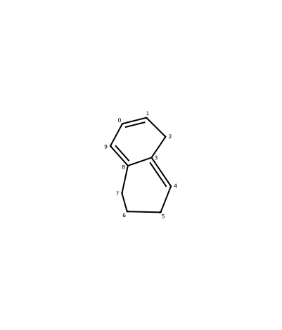 C1=CCC2=CCCCC2=C1